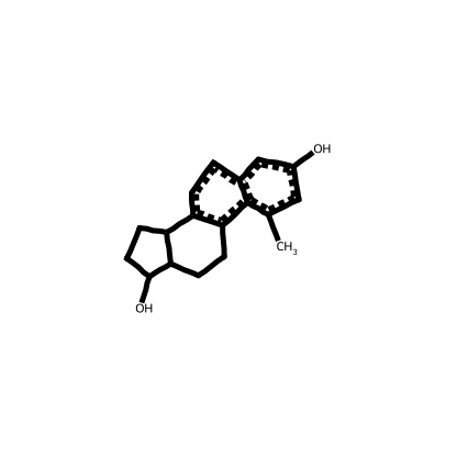 Cc1cc(O)cc2ccc3c(c12)CCC1C(O)CCC31